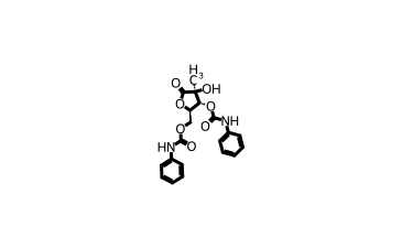 C[C@@]1(O)C(=O)O[C@H](COC(=O)Nc2ccccc2)[C@H]1OC(=O)Nc1ccccc1